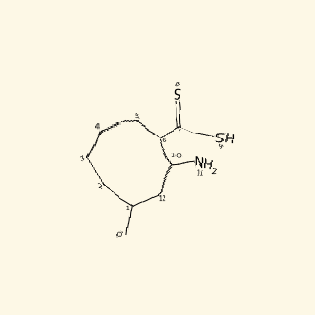 CC1CCCCC(C(=S)S)C(N)C1